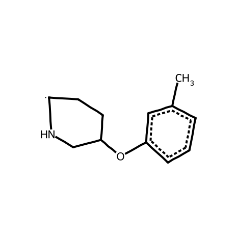 Cc1cccc(OC2CC[CH]NC2)c1